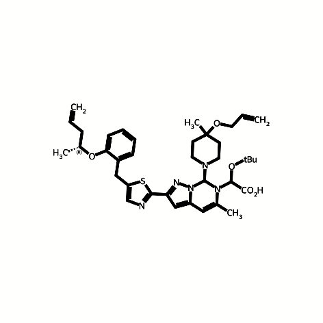 C=CCOC1(C)CCN(C2N(C(OC(C)(C)C)C(=O)O)C(C)=Cc3cc(-c4ncc(Cc5ccccc5O[C@H](C)CC=C)s4)nn32)CC1